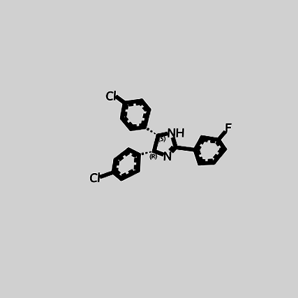 Fc1cccc(C2=N[C@H](c3ccc(Cl)cc3)[C@H](c3ccc(Cl)cc3)N2)c1